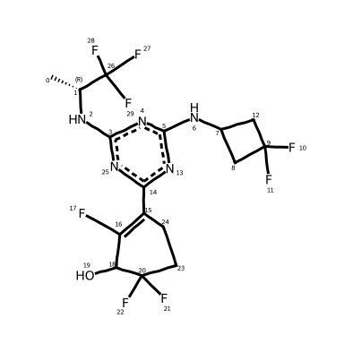 C[C@@H](Nc1nc(NC2CC(F)(F)C2)nc(C2=C(F)C(O)C(F)(F)CC2)n1)C(F)(F)F